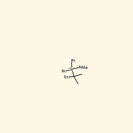 CCC(C)(C)[Si](NC)(C(C)C)C(C)C